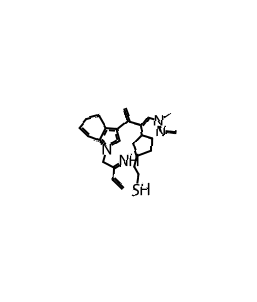 C=CC(=N)Cn1cc(C(=C)/C(=C/N(C)N=C)C2CCC(CCS)C2)c2c1C=CCC2